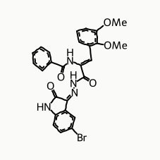 COc1cccc(C=C(NC(=O)c2ccccc2)C(=O)NN=C2C(=O)Nc3ccc(Br)cc32)c1OC